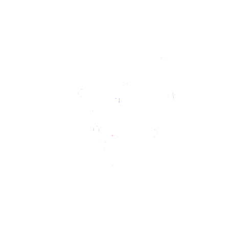 O=C(Cl)ON1C(=O)C2C(C1=O)C1C=CC2S1(=O)=O